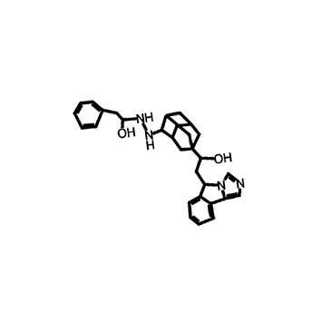 OC(Cc1ccccc1)NNC1C2CC3CC1CC(C(O)CC1c4ccccc4-c4cncn41)(C3)C2